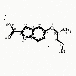 CCNC[C@@H](C)Oc1ccc2oc(C(=O)C(C)C)cc2c1